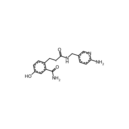 NC(=O)c1cc(O)ccc1C[CH]C(=O)NCc1ccc(N)nc1